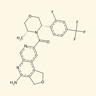 C[C@@H]1COC[C@H](c2ccc(C(F)(F)F)cc2F)N1C(=O)c1cc2c3c(c(N)nc2cn1)COC3